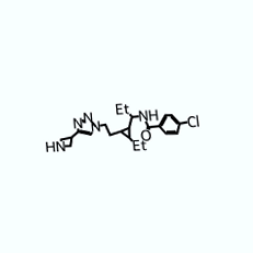 CCC(NC(=O)c1ccc(Cl)cc1)C1C(CC)C1CCn1cc(C2CNC2)nn1